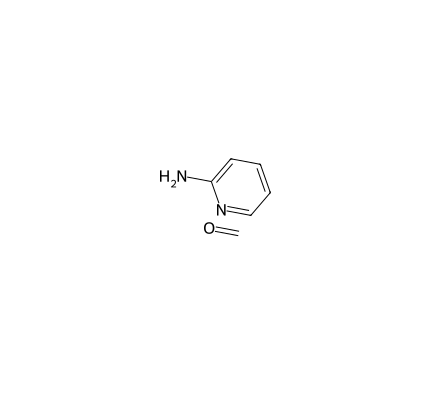 C=O.Nc1ccccn1